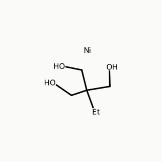 CCC(CO)(CO)CO.[Ni]